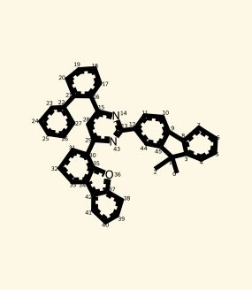 CC1(C)c2ccccc2-c2ccc(-c3nc(-c4ccccc4-c4ccccc4)cc(-c4cccc5c4oc4ccccc45)n3)cc21